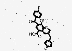 O=C(c1ccc(F)cc1)c1cc(C(=O)O)c2cc(Cc3ccc(F)cc3)cnc2c1O